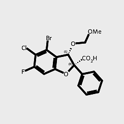 COCO[C@H]1c2c(cc(F)c(Cl)c2Br)O[C@]1(C(=O)O)c1ccccc1